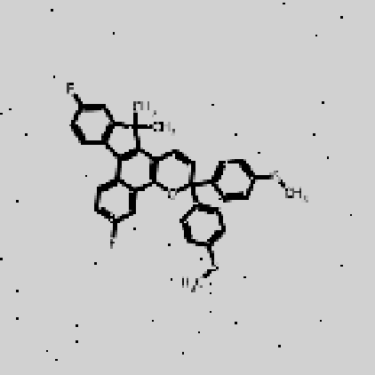 CSc1ccc(C2(c3ccc(SC)cc3)C=Cc3c4c(c5ccc(F)cc5c3O2)-c2ccc(F)cc2C4(C)C)cc1